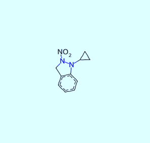 O=[N+]([O-])N1Cc2ccccc2N1C1CC1